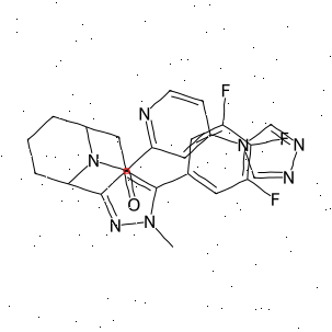 Cn1nc2c(c1-c1cc(F)c(F)c(F)c1)CC1CCCC2N1C(=O)c1cc(-n2cnnc2)ccn1